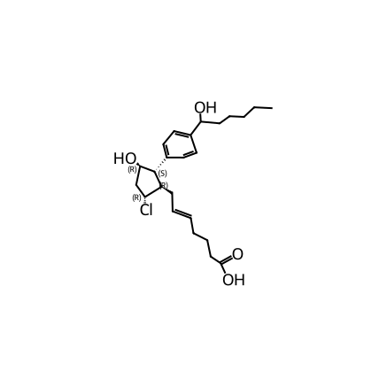 CCCCCC(O)c1ccc([C@@H]2[C@@H](CC=CCCCC(=O)O)[C@H](Cl)C[C@H]2O)cc1